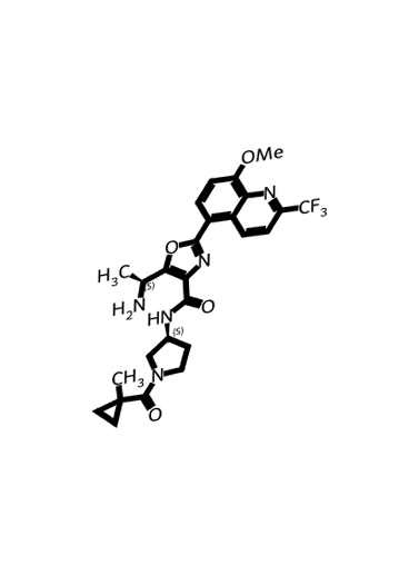 COc1ccc(-c2nc(C(=O)N[C@H]3CCN(C(=O)C4(C)CC4)C3)c([C@H](C)N)o2)c2ccc(C(F)(F)F)nc12